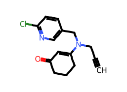 C#CCN(Cc1ccc(Cl)nc1)C1=CC(=O)CCC1